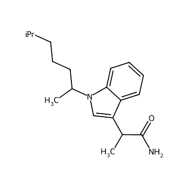 CC(C)CCCC(C)n1cc(C(C)C(N)=O)c2ccccc21